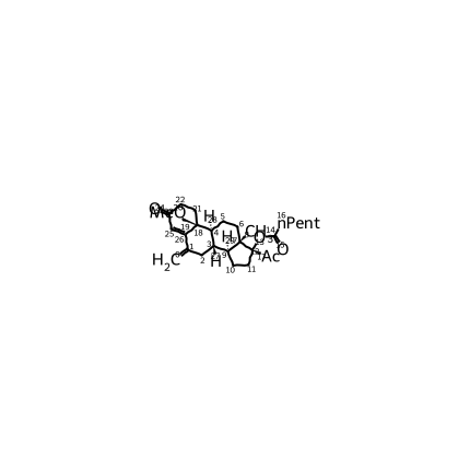 C=C1C[C@@H]2[C@H](CC[C@@]3(C)[C@H]2CC[C@]3(OC(=O)CCCCC)C(C)=O)[C@@]2(COC)CCC(=O)C=C12